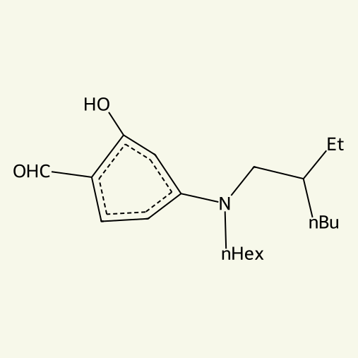 CCCCCCN(CC(CC)CCCC)c1ccc(C=O)c(O)c1